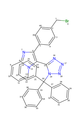 BrCc1ccc(-c2nc3ccccn3c2-c2nnnn2C(c2ccccc2)(c2ccccc2)c2ccccc2)cc1